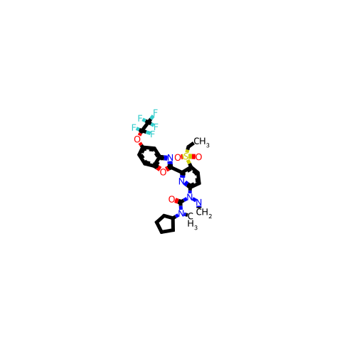 C=NN(C(=O)N(C)C1CCCC1)c1ccc(S(=O)(=O)CC)c(-c2nc3cc(OC(F)(F)C(F)(F)F)ccc3o2)n1